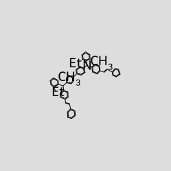 CCc1cccc(C)c1C(c1ccc(/C=C/c2ccccc2)cc1)c1ccc(-c2ccc(N(c3ccc(/C=C/c4ccccc4)cc3)c3c(C)cccc3CC)cc2)cc1